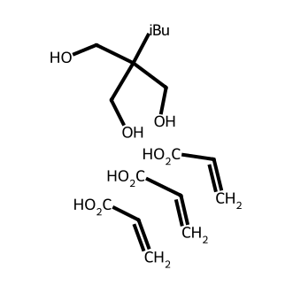 C=CC(=O)O.C=CC(=O)O.C=CC(=O)O.CCC(C)C(CO)(CO)CO